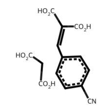 N#Cc1ccc(C=C(C(=O)O)C(=O)O)cc1.O=C(O)CC(=O)O